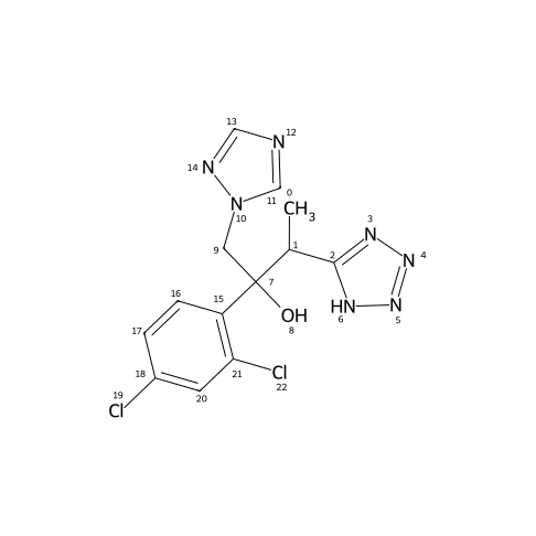 CC(c1nnn[nH]1)C(O)(Cn1cncn1)c1ccc(Cl)cc1Cl